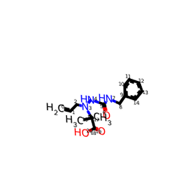 C=CCN(NC(=O)NCc1ccccc1)C(C)(C)C(=O)O